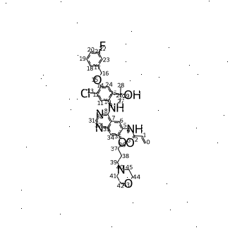 C=CC(=O)Nc1cc2c(Nc3cc(Cl)c(OCc4cccc(F)c4)cc3C(C)(C)O)ncnc2cc1OCCCN1CCOCC1